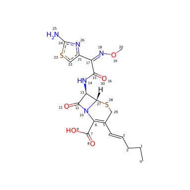 CCC/C=C/C1=C(C(=O)O)N2C(=O)[C@@H](NC(=O)/C(=N\OC)c3csc(N)n3)[C@@H]2SC1